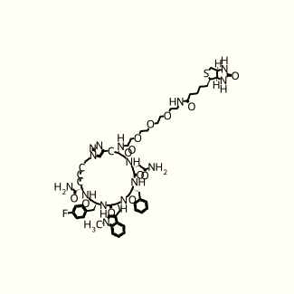 Cn1cc(C[C@@H]2NC(=O)[C@@H](Cc3ccccc3)NC(=O)[C@@H](CC(N)=O)NC(=O)[C@@H](NC(=O)COCCOCCOCCNC(=O)CCCC[C@H]3SC[C@H]4NC(=O)N[C@H]43)Cc3cn(nn3)CCCC[C@@H](C(N)=O)NC(=O)[C@H](Cc3ccc(F)cc3)NC2=O)c2ccccc21